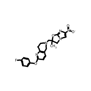 CC1(CN2CCc3nc(Oc4ccc(F)cc4)ccc3C2)Cn2cc([N+](=O)[O-])nc2O1